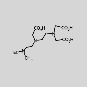 CCN(C)CCN(CCN(CC(=O)O)CC(=O)O)CC(=O)O